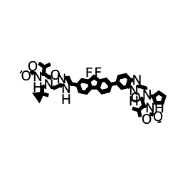 COC(=O)NC(C(=O)N(Cc1ncc(-c2ccc3c(c2)C(F)(F)c2cc(-c4ccc5nc(CN(C(=O)C(NC(=O)OC)C(C)C)C6CCCC6)[nH]c5c4)ccc2-3)[nH]1)CC1(C)CC1)C(C)C